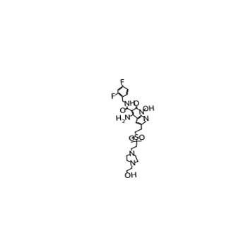 CC(C)(CCN1CCN(CCO)CC1)S(=O)(=O)CCc1cnc2c(c1)c(N)c(C(=O)NCc1ccc(F)cc1F)c(=O)n2O